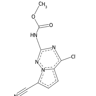 COC(=O)Nc1nc(Cl)c2ccc(C#N)n2n1